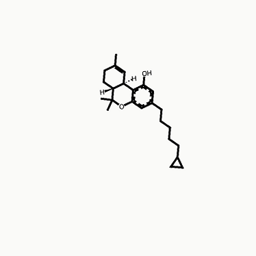 CC1=C[C@H]2c3c(O)cc(CCCCCC4CC4)cc3OC(C)(C)[C@@H]2CC1